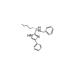 CCCCC[C@H](NCc1ccccc1)c1nc(-c2ccccc2)c[nH]1